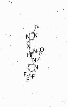 O=C1CCN(c2ccc(C(F)(F)F)cn2)C[C@@H]2C[C@H](Oc3cnc(C4CC4)cn3)CN12